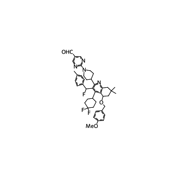 COc1ccc(COC2CC(C)(C)Cc3nc(C4CCN(c5ncc(C=O)cn5)CC4)c(C(F)c4ccc(C)cc4)c(C4CCC(F)(F)CC4)c32)cc1